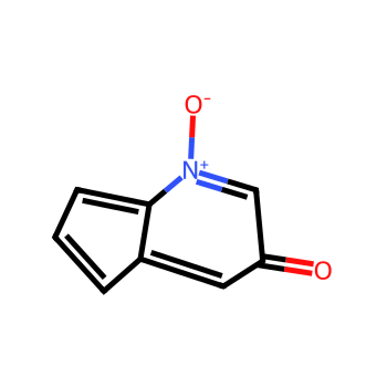 O=C1C=C2C=CC=C2[N+]([O-])=C1